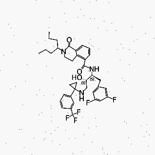 CCCC(CCC)N1CCc2c(C(=O)N[C@@H](Cc3cc(F)cc(F)c3)[C@@H](O)CNC3(c4cccc(C(F)(F)F)c4)CC3)cccc2C1=O